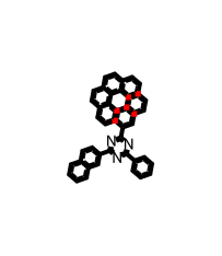 c1ccc(-c2nc(-c3ccc(-c4cccc5ccc6ccc7cccc(-c8ccccc8)c7c6c45)cc3)nc(-c3ccc4ccccc4c3)n2)cc1